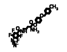 Cc1ccc(COc2ccc(OC(=O)C(N)CCCNC(=O)c3c(F)c(F)c(N=[N+]=[N-])c(F)c3F)cc2)cc1